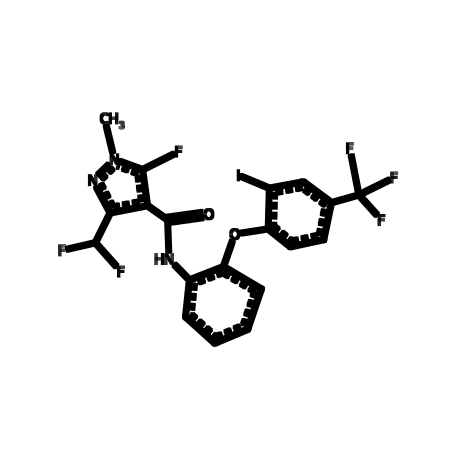 Cn1nc(C(F)F)c(C(=O)Nc2ccccc2Oc2ccc(C(F)(F)F)cc2I)c1F